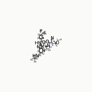 CCOC(C)(C)/C=C(\C#N)C(=O)N1CCC[C@@H]1Cn1c(NC(=O)c2ccc(C(F)F)s2)nc2cc(CNCC(C)(C)C)cnc21